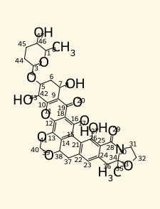 CC1OC(OC2CC(O)c3c(oc4c5c6c(c(O)c4c3=O)-c3c(cc4c(c3O)C(=O)N3CCOC3(C)C4)CC6OCO5)C2O)CCC1O